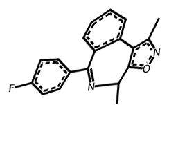 Cc1noc2c1-c1ccccc1C(c1ccc(F)cc1)=NC2C